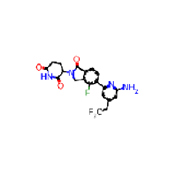 Nc1cc(CC(F)(F)F)cc(-c2ccc3c(c2F)CN(C2CCC(=O)NC2=O)C3=O)n1